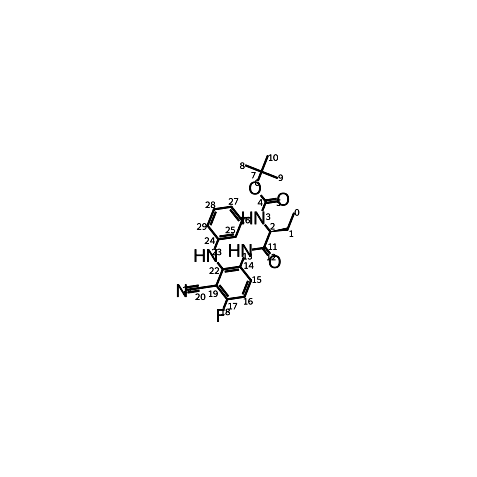 CC[C@H](NC(=O)OC(C)(C)C)C(=O)Nc1ccc(F)c(C#N)c1Nc1ccccc1